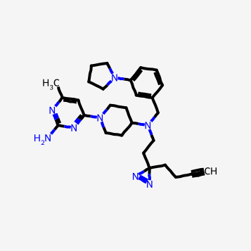 C#CCCC1(CCN(Cc2cccc(N3CCCC3)c2)C2CCN(c3cc(C)nc(N)n3)CC2)N=N1